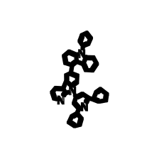 c1ccc(-c2cc(-n3c4ccc(-c5cccc6c5c5ccccc5n6-c5ccccc5)cc4c4cccnc43)cc(-c3ccccc3)n2)cc1